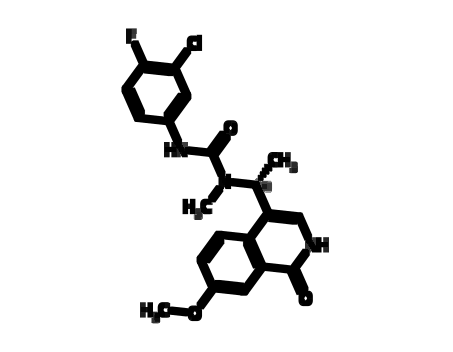 COc1ccc2c([C@@H](C)N(C)C(=O)Nc3ccc(F)c(Cl)c3)c[nH]c(=O)c2c1